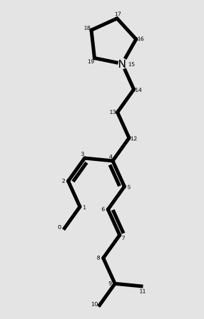 CC\C=C/C(=C\C=C\CC(C)C)CCCN1CCCC1